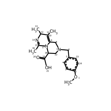 COc1ccc(CN2CC3=C(C)C(C)N=C(C)N3C(C(=O)O)C2)cc1